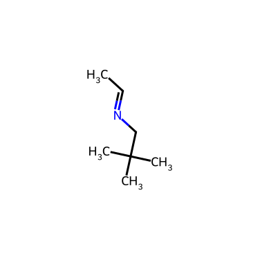 CC=NCC(C)(C)C